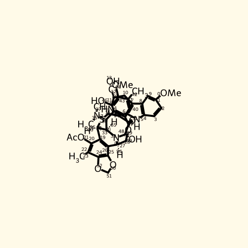 COc1ccc2[nH]c3c(c2c1)C[C@H](CO)N[C@]31CS[C@@H]2c3c(OC(C)=O)c(C)c4c(c3[C@H](COC1=O)N1[C@@H]2[C@@H](N(C)C)c2c(cc(C)c(OC)c2O)C[C@@H]1O)OCO4